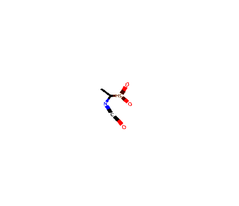 CC(N=C=O)[SH](=O)=O